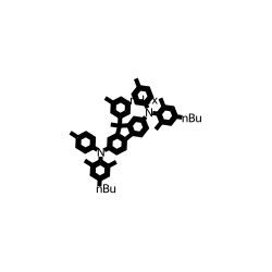 CCCCCCc1cc(C)cc(C2(C)c3cc(N(c4ccc(C)cc4)c4c(C)cc(CCCC)cc4C)ccc3-c3ccc(N(c4ccc(C)cc4)c4c(C)cc(CCCC)cc4C)cc32)c1